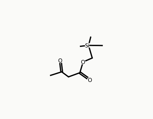 CC(=O)CC(=O)OC[Si](C)(C)C